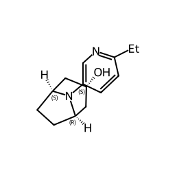 CCc1ccc(N2[C@@H]3CC[C@H]2C[C@H](O)C3)cn1